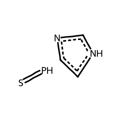 P=S.c1c[nH]cn1